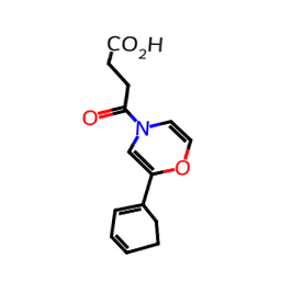 O=C(O)CCC(=O)N1C=COC(C2=CC=CCC2)=C1